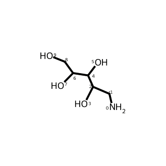 N[CH]C(O)C(O)C(O)CO